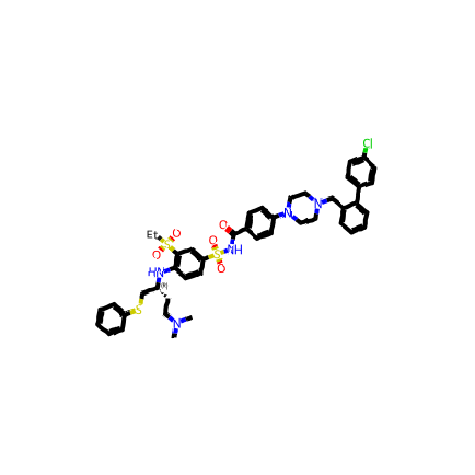 CCS(=O)(=O)c1cc(S(=O)(=O)NC(=O)c2ccc(N3CCN(Cc4ccccc4-c4ccc(Cl)cc4)CC3)cc2)ccc1N[C@H](CCN(C)C)CSc1ccccc1